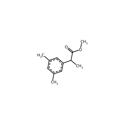 COC(=O)C(C)c1cc(C)[c]c(C)c1